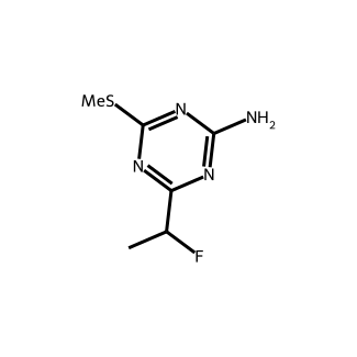 CSc1nc(N)nc(C(C)F)n1